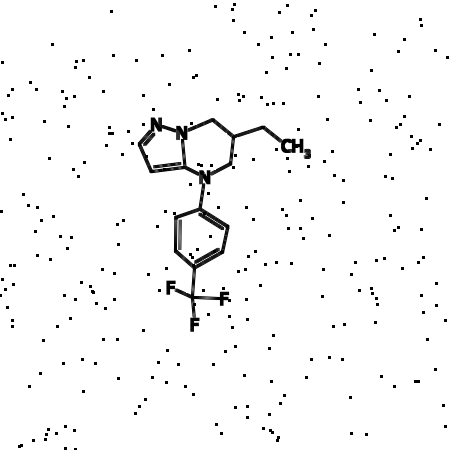 CCC1CN(c2ccc(C(F)(F)F)cc2)c2ccnn2C1